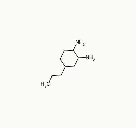 CCCC1CCC(N)C(N)C1